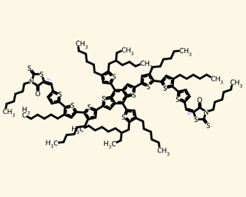 CCCCCCc1cc(-c2c3cc(-c4cc(CCCCCC)c(-c5cc(CCCCCC)c(-c6ccc(/C=C7/SC(=S)N(CCCCCC)C7=O)s6)s5)s4)sc3c(-c3cc(CCCCCC)c(CC(CC)CCCCCC)s3)c3cc(-c4cc(CCCCCC)c(-c5cc(CCCCCC)c(-c6ccc(/C=C7/SC(=S)N(CCCCCC)C7=O)s6)s5)s4)sc23)sc1CC(CC)CCCC